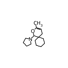 CC1=CCC2(CCCCC2)C(N2CCCC2)O1